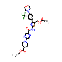 CCOC(=O)C1CCN(c2cnc(C(=O)Nc3nc(-c4ccc(N5CCOCC5)c(C(F)(F)F)c4)c(COC(C)=O)s3)cn2)CC1